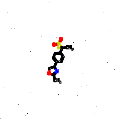 CC1=NC(c2ccc(C(C)[SH](=O)=O)cc2)CO1